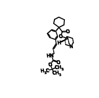 CC(C)(C)OC(=O)NCC=Cc1cccc(C2(C(=O)O[C@H]3CN4CCC3CC4)CCCCC2)c1